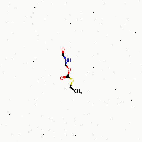 CCSC(=O)OCN[C]=O